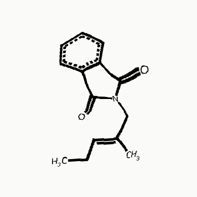 CCC=C(C)CN1C(=O)c2ccccc2C1=O